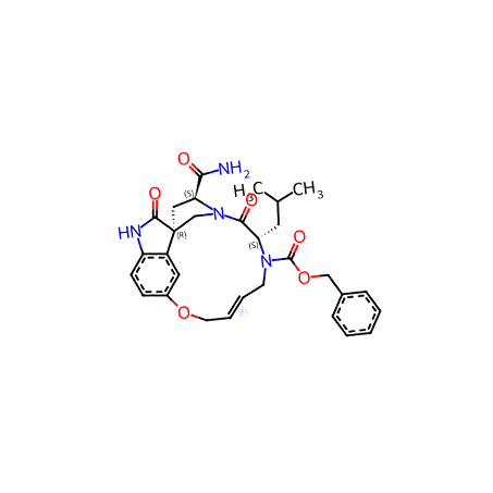 CC(C)C[C@H]1C(=O)N2C[C@]3(C[C@H]2C(N)=O)C(=O)Nc2ccc(cc23)OC/C=C/CN1C(=O)OCc1ccccc1